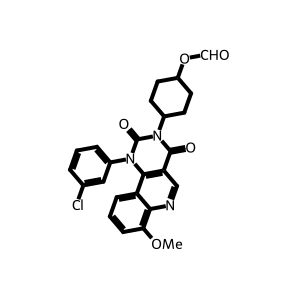 COc1cccc2c1ncc1c(=O)n(C3CCC(OC=O)CC3)c(=O)n(-c3cccc(Cl)c3)c12